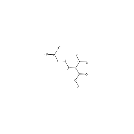 COC(=O)C(SCCC(F)F)C(C)C